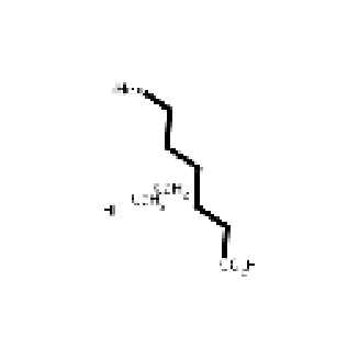 CCCCCCCCCCCC(=O)O.I.[CaH2].[CaH2]